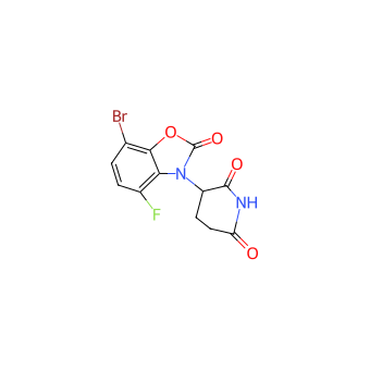 O=C1CCC(n2c(=O)oc3c(Br)ccc(F)c32)C(=O)N1